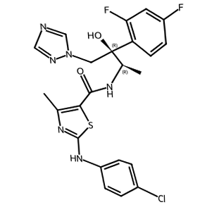 Cc1nc(Nc2ccc(Cl)cc2)sc1C(=O)N[C@H](C)[C@](O)(Cn1cncn1)c1ccc(F)cc1F